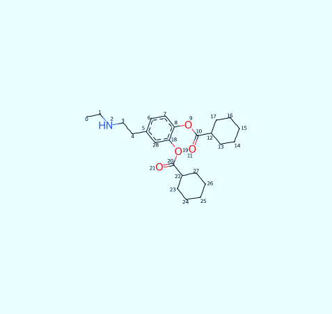 CCNCCc1ccc(OC(=O)C2CCCCC2)c(OC(=O)C2CCCCC2)c1